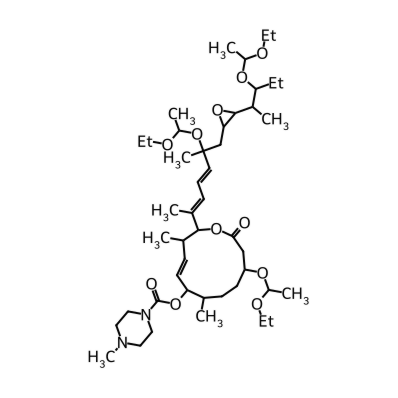 CCOC(C)OC1CCC(C)C(OC(=O)N2CCN(C)CC2)/C=C/C(C)C(/C(C)=C/C=C/C(C)(CC2OC2C(C)C(CC)OC(C)OCC)OC(C)OCC)OC(=O)C1